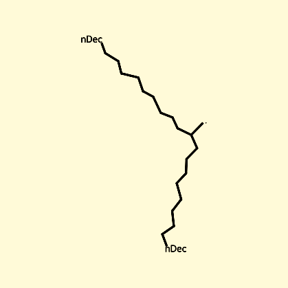 [CH2]C(CCCCCCCCCCCCCCCCCC)CCCCCCCCCCCCCCCCCCC